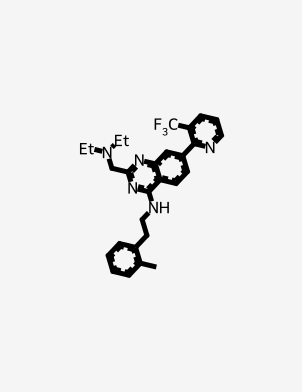 CCN(CC)Cc1nc(NCCc2ccccc2C)c2ccc(-c3ncccc3C(F)(F)F)cc2n1